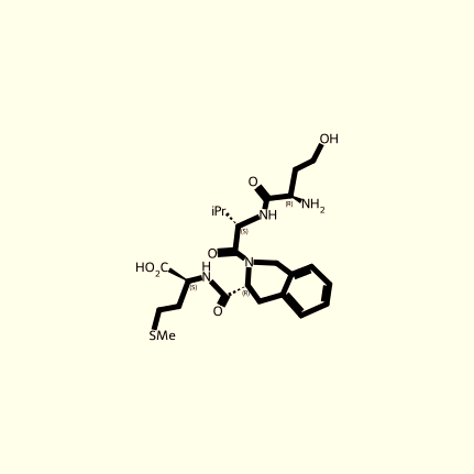 CSCC[C@H](NC(=O)[C@H]1Cc2ccccc2CN1C(=O)[C@@H](NC(=O)[C@H](N)CCO)C(C)C)C(=O)O